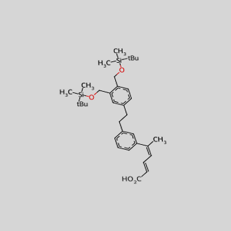 C/C(=C/C=C/C(=O)O)c1cccc(CCc2ccc(CO[Si](C)(C)C(C)(C)C)c(CO[Si](C)(C)C(C)(C)C)c2)c1